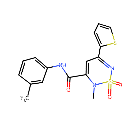 CN1C(C(=O)Nc2cccc(C(F)(F)F)c2)=CC(c2cccs2)=NS1(=O)=O